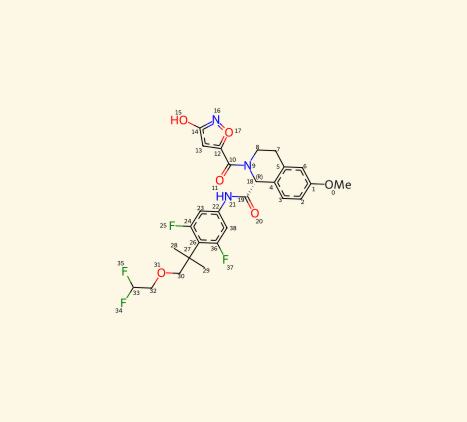 COc1ccc2c(c1)CCN(C(=O)c1cc(O)no1)[C@H]2C(=O)Nc1cc(F)c(C(C)(C)COCC(F)F)c(F)c1